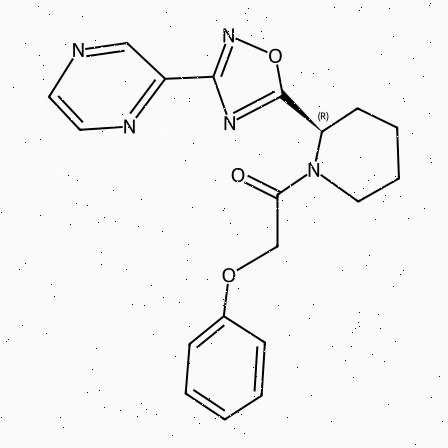 O=C(COc1ccccc1)N1CCCC[C@@H]1c1nc(-c2cnccn2)no1